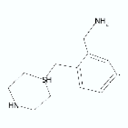 NCc1c[c]ccc1C[SH]1CCNCC1